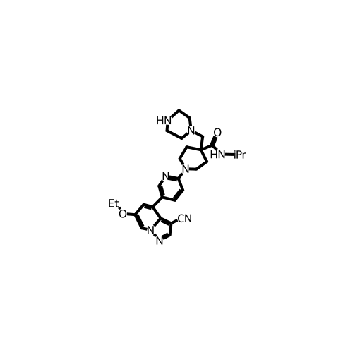 CCOc1cc(-c2ccc(N3CCC(CN4CCNCC4)(C(=O)NC(C)C)CC3)nc2)c2c(C#N)cnn2c1